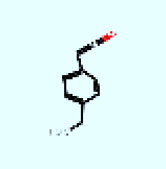 O=C=Cc1ccc(CS(=O)(=O)O)cc1